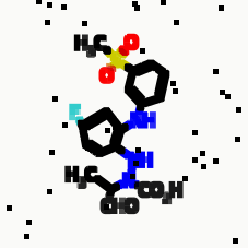 CC(C=O)N(Nc1ccc(F)cc1Nc1cccc(S(C)(=O)=O)c1)C(=O)O